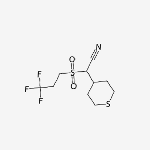 N#CC(C1CCSCC1)S(=O)(=O)CCC(F)(F)F